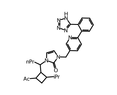 CCCC(C1C(C(C)=O)CC1C(C)C)n1ccn(Cc2ccc(-c3ccccc3-c3nnn[nH]3)nc2)c1=O